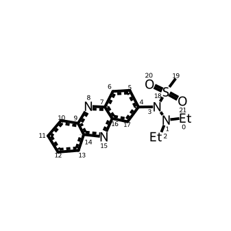 CCN(CC)N(c1ccc2nc3ccccc3nc2c1)S(C)(=O)=O